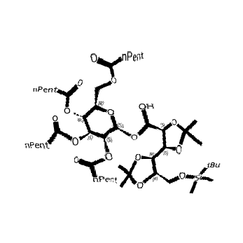 CCCCCC(=O)OC[C@H]1O[C@@H](OC(O)[C@H]2OC(C)(C)O[C@H]2[C@@H]2OC(C)(C)O[C@@H]2CO[Si](C)(C)C(C)(C)C)[C@@H](OC(=O)CCCCC)[C@@H](OC(=O)CCCCC)[C@@H]1OC(=O)CCCCC